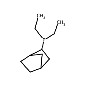 CCP(CC)C1CC2CCC1C2